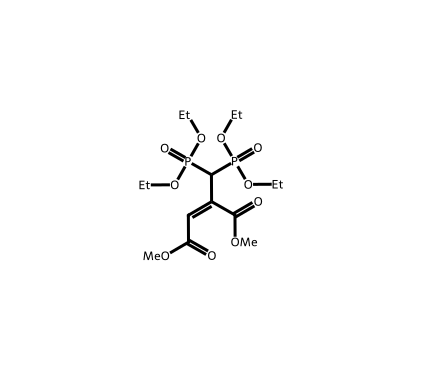 CCOP(=O)(OCC)C(C(=CC(=O)OC)C(=O)OC)P(=O)(OCC)OCC